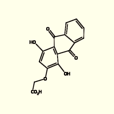 O=C(O)COc1cc(O)c2c(c1O)C(=O)c1ccccc1C2=O